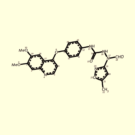 COc1cc2nccc(Oc3ccc(NC(=O)NN(C=O)c4cc(C)on4)cc3)c2cc1OC